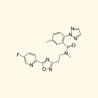 Cc1ccc(-n2nccn2)c(C(=O)N(C)CCc2noc(-c3ccc(F)cn3)n2)c1